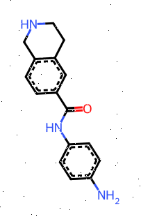 Nc1ccc(NC(=O)c2ccc3c(c2)CCNC3)cc1